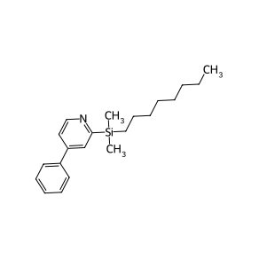 CCCCCCCC[Si](C)(C)c1cc(-c2ccccc2)ccn1